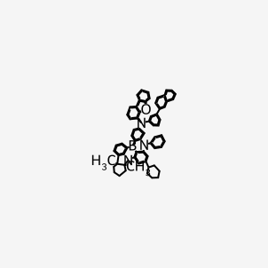 CC12CCCCC1(C)N1c3cc(C4CCCCC4)cc4c3B(c3ccc(N(c5cccc(-c6ccc7ccccc7c6)c5)c5cccc6c5oc5ccccc56)cc3N4c3ccccc3)c3cccc2c31